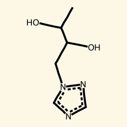 CC(O)C(O)Cn1cncn1